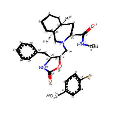 CC(C)(C)NC(=O)[C@@H]1C[C@@H]2CCCC[C@@H]2CN1C[C@H]1OC(=O)N[C@H]1Cc1ccccc1.O=S(=O)(O)c1ccc(Br)cc1